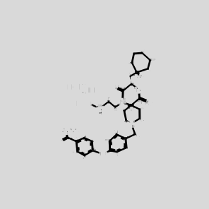 CNC(=O)c1ccc(Oc2ccc(CN3CCC4(CC3)C(=O)N[C@H](CC3(O)CCCCC3)C(=O)N4CCN(C)C)cc2)cc1.Cl.Cl